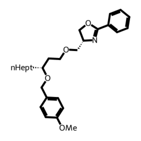 CCCCCCC[C@H](CCOC[C@@H]1COC(c2ccccc2)=N1)OCc1ccc(OC)cc1